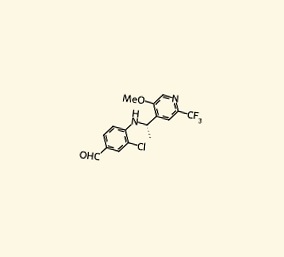 COc1cnc(C(F)(F)F)cc1[C@H](C)Nc1ccc(C=O)cc1Cl